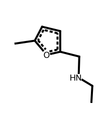 CCNCc1ccc(C)o1